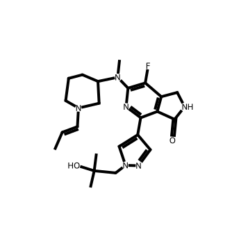 CC=CN1CCCC(N(C)c2nc(-c3cnn(CC(C)(C)O)c3)c3c(c2F)CNC3=O)C1